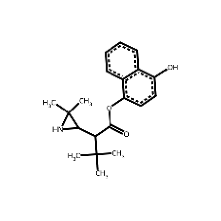 CC(C)(C)C(C(=O)Oc1ccc(O)c2ccccc12)C1NC1(C)C